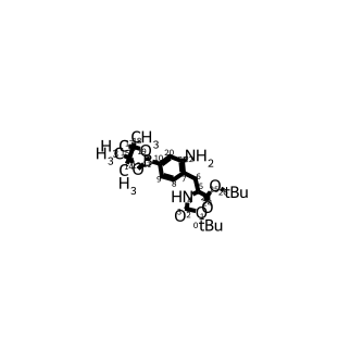 CC(C)(C)OC(=O)NC(Cc1ccc(B2OC(C)(C)C(C)(C)O2)cc1N)C(=O)OC(C)(C)C